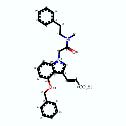 CCOC(=O)/C=C/c1cn(CC(=O)N(C)CCc2ccccc2)c2cccc(OCc3ccccc3)c12